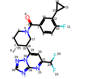 C[C@@H]1CCN(C(=O)c2ccc(F)c(C3CC3)c2)C[C@H]1c1cc(C(F)F)nc2ncnn12